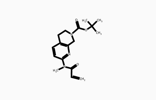 C=CC(=O)N(C)c1ccc2c(n1)CN(C(=O)OC(C)(C)C)CC2